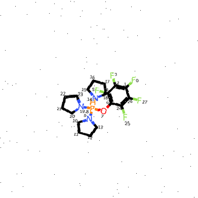 Fc1c(F)c(F)c(O[PH](N2CCCC2)(N2CCCC2)N2CCCC2)c(F)c1F